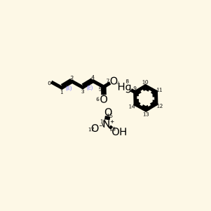 C/C=C/C=C/C(=O)[O][Hg][c]1ccccc1.O=[N+]([O-])O